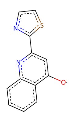 [O]c1cc(-c2nccs2)nc2ccccc12